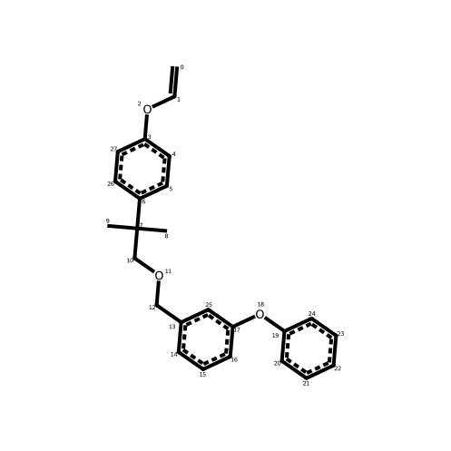 C=COc1ccc(C(C)(C)COCc2cccc(Oc3ccccc3)c2)cc1